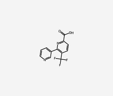 O=C(O)c1ccc(C(F)(F)F)c(-c2cccnc2)n1